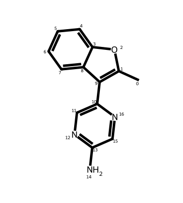 Cc1oc2ccccc2c1-c1cnc(N)cn1